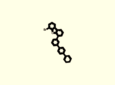 Brc1cccc2c1oc1c(-c3cccc(-c4ccc(C5=CCCC=C5)cc4)c3)cccc12